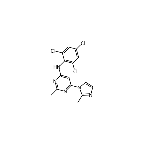 Cc1nc(Nc2c(Cl)cc(Cl)cc2Cl)cc(-n2ccnc2C)n1